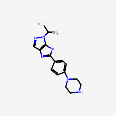 CC(C)n1ncc2nc(-c3ccc(N4CCNCC4)cc3)[nH]c21